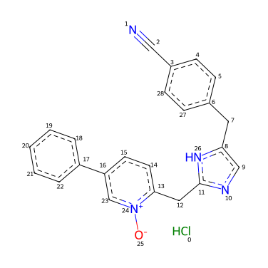 Cl.N#Cc1ccc(Cc2cnc(Cc3ccc(-c4ccccc4)c[n+]3[O-])[nH]2)cc1